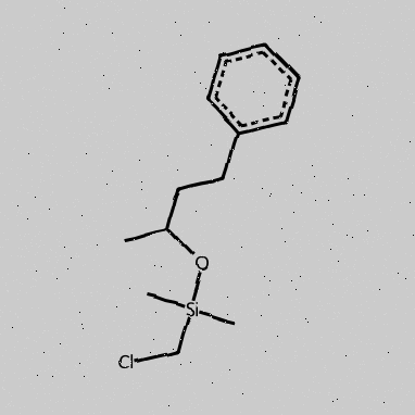 CC(CCc1ccccc1)O[Si](C)(C)CCl